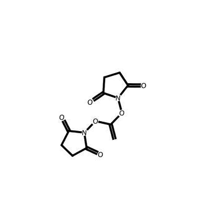 C=C(ON1C(=O)CCC1=O)ON1C(=O)CCC1=O